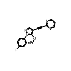 CCCOc1c(C#Cc2ncccn2)cnn1-c1ccc(F)cc1